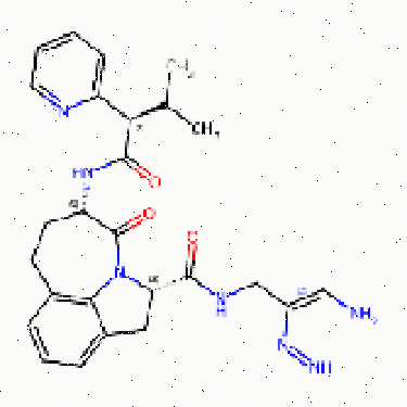 CC(C)[C@@H](C(=O)N[C@H]1CCc2cccc3c2N(C1=O)[C@H](C(=O)NC/C(=C/N)N=N)C3)c1ccccn1